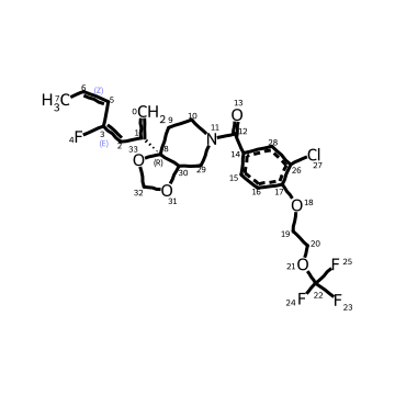 C=C(/C=C(F)\C=C/C)[C@]12CCN(C(=O)c3ccc(OCCOC(F)(F)F)c(Cl)c3)CC1OCO2